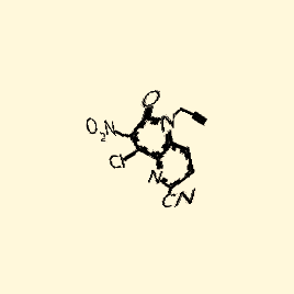 C#CCn1c(=O)c([N+](=O)[O-])c(Cl)c2nc(C#N)ccc21